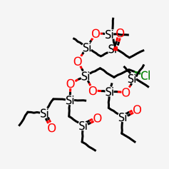 CC[Si](=O)C[Si](C)(C[Si](=O)CC)O[Si](CCCCl)(O[Si](C)(C[Si](=O)CC)O[Si](C)(C)C)O[Si](C)(C[Si](=O)CC)O[Si](C)(C)C